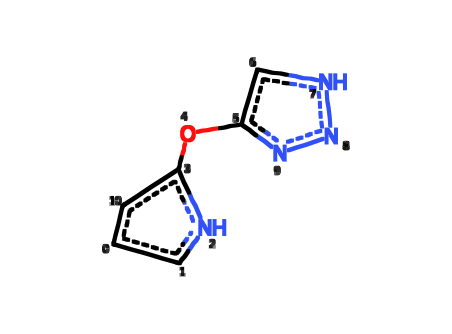 c1c[nH]c(Oc2c[nH]nn2)c1